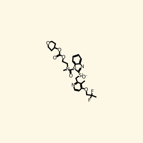 Cc1c(OCC(C)(F)F)ccnc1C[S@@+]([O-])c1nc2ccccc2n1C(=O)N(C)CCOC(=O)OC1CCOCC1